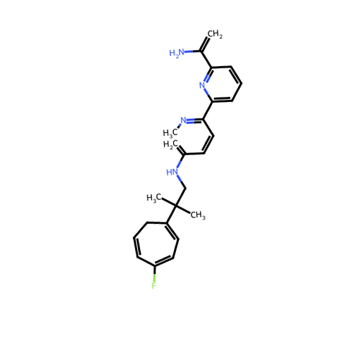 C=C(/C=C\C(=N/C)c1cccc(C(=C)N)n1)NCC(C)(C)C1=CC=C(F)C=CC1